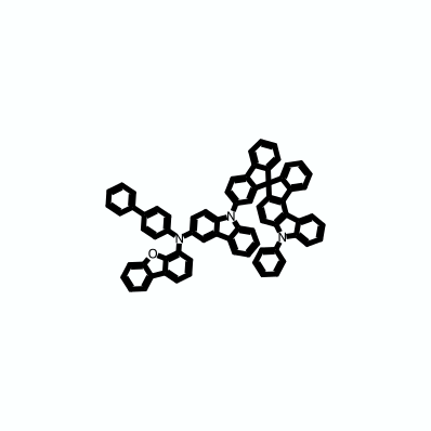 c1ccc(-c2ccc(N(c3ccc4c(c3)c3ccccc3n4-c3ccc4c(c3)C3(c5ccccc5-4)c4ccccc4-c4c3ccc3c4c4ccccc4n3-c3ccccc3)c3cccc4c3oc3ccccc34)cc2)cc1